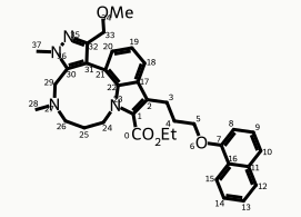 CCOC(=O)c1c(CCCOc2cccc3ccccc23)c2cccc3c2n1CCCN(C)Cc1c-3c(COC)nn1C